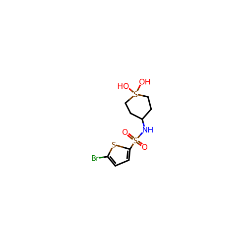 O=S(=O)(NC1CCS(O)(O)CC1)c1ccc(Br)s1